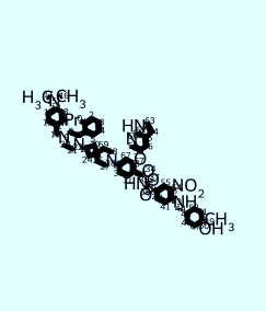 CC(C)c1ccccc1C1CN(Cc2ccc(N(C)C)cc2)CCN1C1CC2(CCN(c3ccc(C(=O)NS(=O)(=O)c4ccc(NC[C@H]5CC[C@](C)(O)CC5)c([N+](=O)[O-])c4)c(Oc4cnc5[nH]ccc5c4)c3)CC2)C1